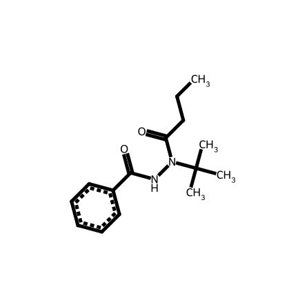 CCCC(=O)N(NC(=O)c1ccccc1)C(C)(C)C